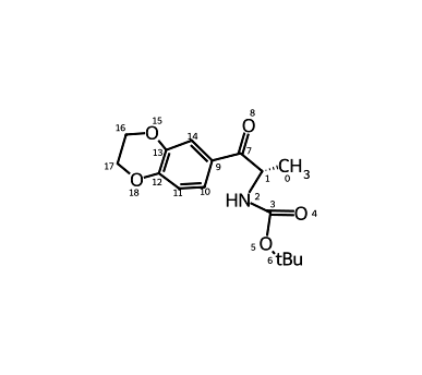 C[C@H](NC(=O)OC(C)(C)C)C(=O)c1ccc2c(c1)OCCO2